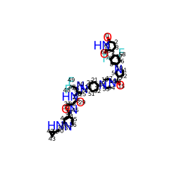 O=C1CC[C@H](c2c(F)cc(N3CC[C@@H](C(=O)N4CCN(C5CCC(n6cc(NC(=O)c7coc(-c8ccnc(NCC9CC9)c8)n7)c(C(F)F)n6)CC5)CC4)C3)cc2F)C(=O)N1